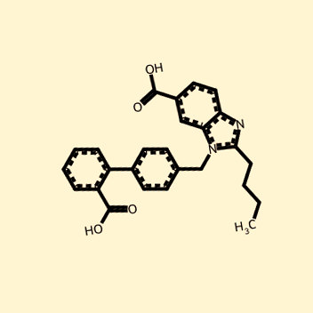 CCCCc1nc2ccc(C(=O)O)cc2n1Cc1ccc(-c2ccccc2C(=O)O)cc1